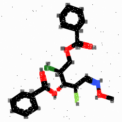 CO/N=C\[C@@H](F)[C@H](OC(=O)c1ccccc1)[C@@H](Cl)COC(=O)c1ccccc1